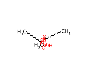 CC(=O)OO.CCCCCCCCCCCC(=O)OOC(=O)CCCCCCCCCCC